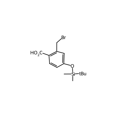 CC(C)(C)[Si](C)(C)Oc1ccc(C(=O)O)c(CBr)c1